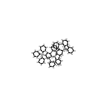 c1ccc(-c2cc([Si](c3ccccc3)(c3ccccc3)c3ccccc3)cc(-c3ccccc3)c2-n2c3ccccc3c3cc(-n4c5ccccc5c5cccc(-c6ccccc6)c54)ccc32)cc1